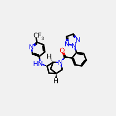 O=C(c1ccccc1-n1nccn1)N1C[C@@H]2C[C@@H](Nc3ccc(C(F)(F)F)nc3)[C@@H]1C2